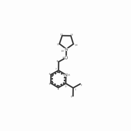 CC(C)c1cccc(CON2CCCC2)n1